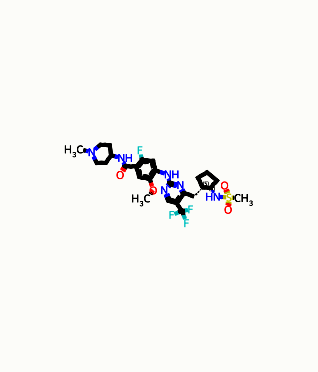 COc1cc(C(=O)NC2CCN(C)CC2)c(F)cc1Nc1ncc(C(F)(F)F)c(C[C@@H]2CCC[C@H]2NS(C)(=O)=O)n1